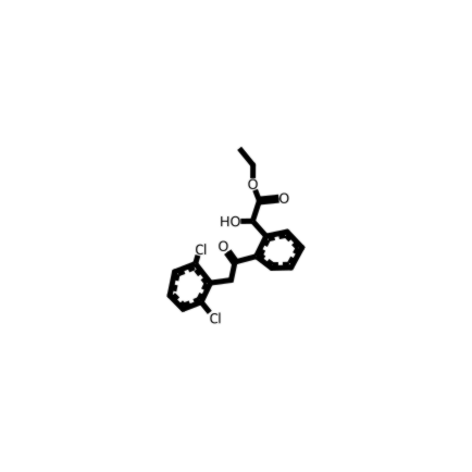 CCOC(=O)C(O)c1ccccc1C(=O)Cc1c(Cl)cccc1Cl